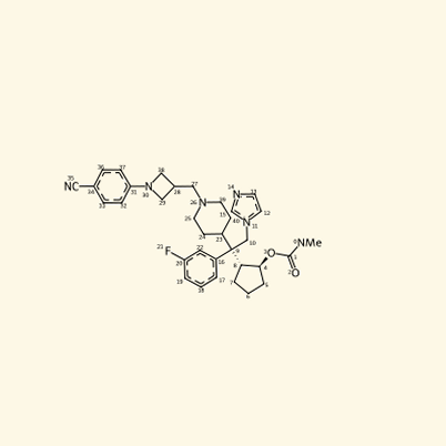 CNC(=O)O[C@H]1CCC[C@@H]1C(Cn1ccnc1)(c1cccc(F)c1)C1CCN(CC2CN(c3ccc(C#N)cc3)C2)CC1